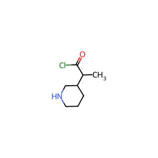 CC(C(=O)Cl)C1CCCNC1